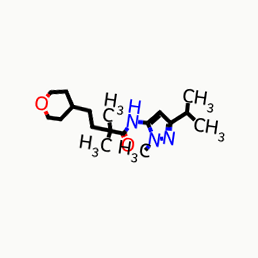 CC(C)c1cc(NC(=O)C(C)(C)CCC2CCOCC2)n(C)n1